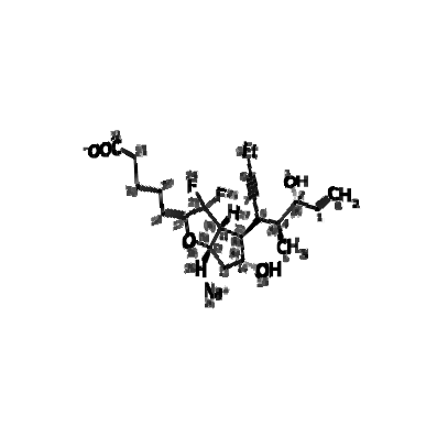 C=C[C@@H](O)[C@@H](C)C(C#CCC)[C@@H]1[C@@H]2[C@H](C[C@H]1O)OC(=CCCCC(=O)[O-])C2(F)F.[Na+]